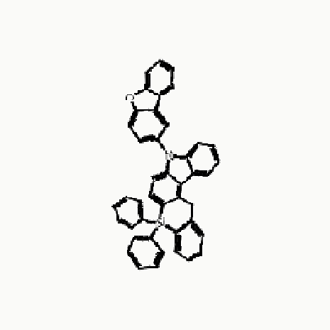 c1ccc([Si]2(c3ccccc3)c3ccccc3Cc3c2ccc2c3c3ccccc3n2-c2ccc3oc4ccccc4c3c2)cc1